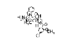 COc1cc(Cl)ccc1C(=O)N1C[C@@H]2C[C@H]1CN2C(=O)[C@@H](n1c(C(N)=O)cc2ccccc21)C(C)(C)C